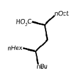 CCCCCCCCC(CC(CCCC)CCCCCC)C(=O)O